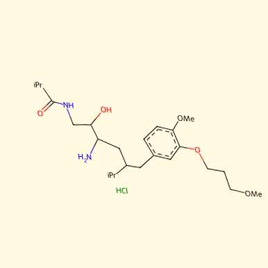 COCCCOc1cc(CC(CC(N)C(O)CNC(=O)C(C)C)C(C)C)ccc1OC.Cl